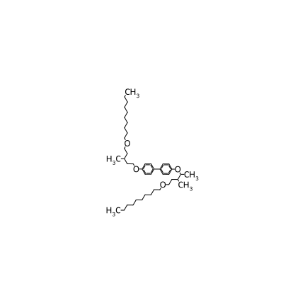 CCCCCCCCCCOCCC(C)CCOc1ccc(-c2ccc(OC(C)C(C)CCOCCCCCCCCCC)cc2)cc1